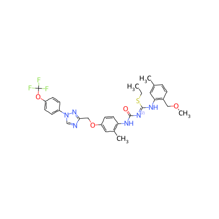 CCS/C(=N\C(=O)Nc1ccc(OCc2ncn(-c3ccc(OC(F)(F)F)cc3)n2)cc1C)Nc1cc(C)ccc1COC